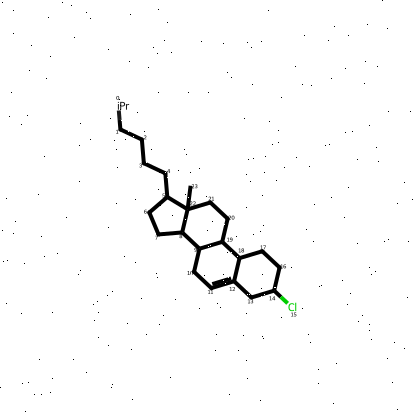 CC(C)CCCCC1CCC2C3CC=C4CC(Cl)CCC4C3CCC12C